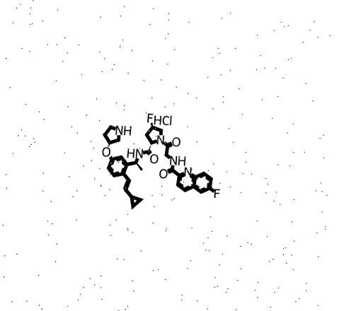 C[C@H](NC(=O)[C@@H]1C[C@@H](F)CN1C(=O)CNC(=O)c1ccc2cc(F)ccc2n1)c1cc(O[C@@H]2CCNC2)ccc1/C=C/C1CC1.Cl